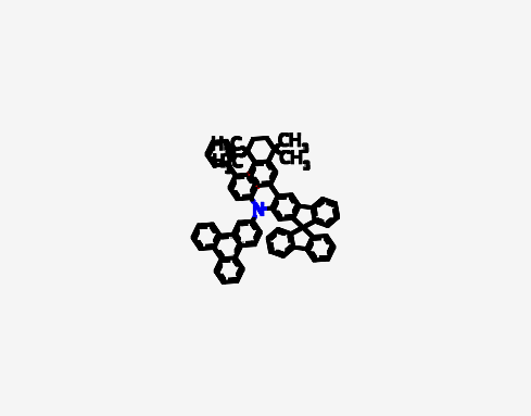 CC1(C)CCC(C)(C)c2cc(-c3cc4c(cc3N(c3ccc(-c5ccccc5)cc3)c3ccc5c6ccccc6c6ccccc6c5c3)C3(c5ccccc5-c5ccccc53)c3ccccc3-4)ccc21